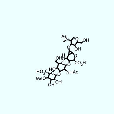 COC1C(C(=O)O)OC(OC2C(O)C(CO)OC(OC3C(C(=O)O)OC4C(OC5C(O)C(CO)OCC5N(C)C(C)=O)C4C3O)C2NC(C)=O)C(O)C1O